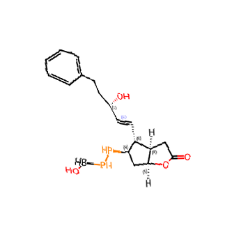 O=C1C[C@@H]2[C@@H](/C=C/[C@@H](O)CCc3ccccc3)[C@H](PPBO)C[C@@H]2O1